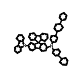 c1ccc(-c2ccc(-c3ccc(N(c4ccc(-c5ccccc5)cc4)c4ccc5c(c4)C4(c6ccccc6-c6ccccc64)c4cc(-n6c7ccccc7c7ccccc76)ccc4-5)cc3)cc2)cc1